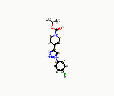 CCC(CC)OC(=O)N1CC=C(c2cn(-c3ccc(F)cc3)nn2)CC1